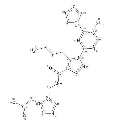 CCCCc1c(C(=O)NCc2cncn2CC(=O)O)cnn1-c1ncc(C)c(-c2cccs2)n1